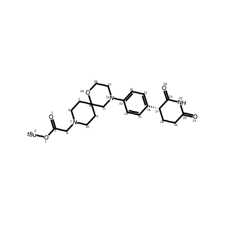 CC(C)(C)OC(=O)CN1CCC2(CC1)CN(c1ccc([C@H]3CCC(=O)NC3=O)cc1)CCO2